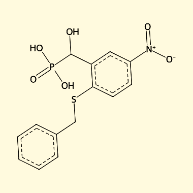 O=[N+]([O-])c1ccc(SCc2ccccc2)c(C(O)P(=O)(O)O)c1